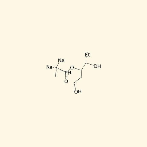 CCC(O)C(CCO)O[PH](=O)[C](C)([Na])[Na]